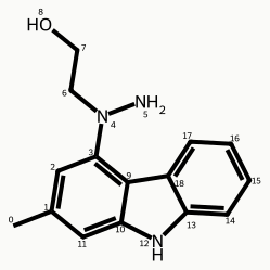 Cc1cc(N(N)CCO)c2c(c1)[nH]c1ccccc12